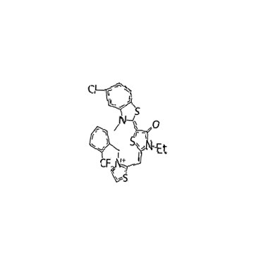 CCn1c(=O)/c(=C2\Sc3ccc(Cl)cc3N2C)s/c1=C\c1scc[n+]1Cc1ccccc1C(F)(F)F